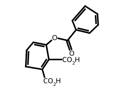 O=C(Oc1cccc(C(=O)O)c1C(=O)O)c1ccccc1